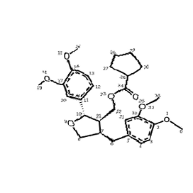 COc1ccc(C[C@H]2CO[C@H](c3ccc(OC)c(OC)c3)[C@H]2COC(=O)C2CCCC2)cc1OC